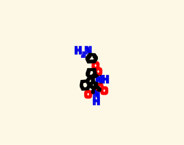 Nc1ccc(Oc2ccc(C3CCCCC3(C3=CC(=O)NC3=O)C3=CC(=O)NC3=O)cc2)cc1